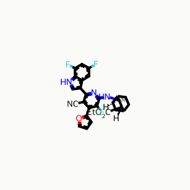 CCOC(=O)[C@H]1C2CCC(CC2)[C@@H]1Nc1nc(-c2c[nH]c3c(F)cc(F)cc23)c(C#N)c(-c2ccco2)c1F